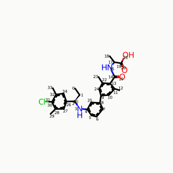 CC[C@@H](Nc1cccc(-c2cc(C)c(C(=O)NC(C)C(=O)O)c(C)c2)c1)c1cc(C)c(Cl)c(C)c1